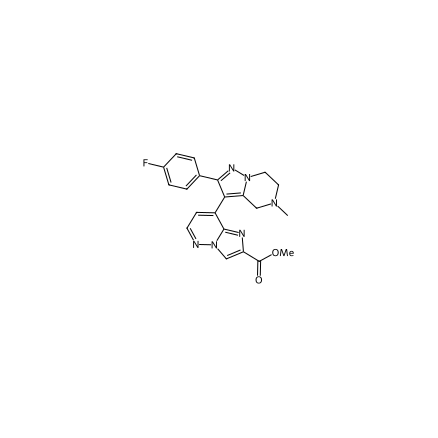 COC(=O)c1cn2nccc(-c3c(-c4ccc(F)cc4)nn4c3CN(C)CC4)c2n1